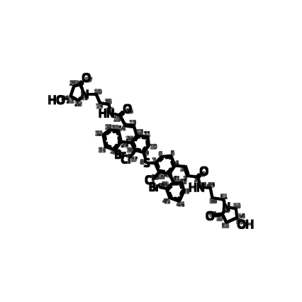 O=C(/C=C/c1ccc(Sc2ccc(/C=C/C(=O)NCCCN3C[C@H](O)CC3=O)c(-c3ccccc3Br)c2Cl)c(Cl)c1-c1ccccc1Br)NCCCN1C[C@H](O)CC1=O